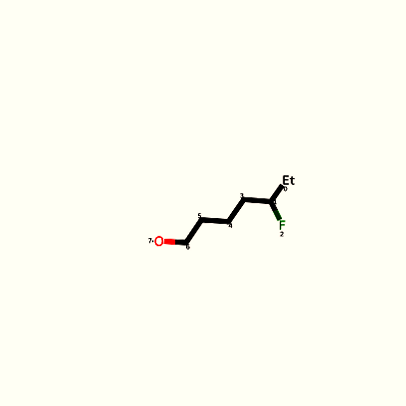 CCC(F)CCCC[O]